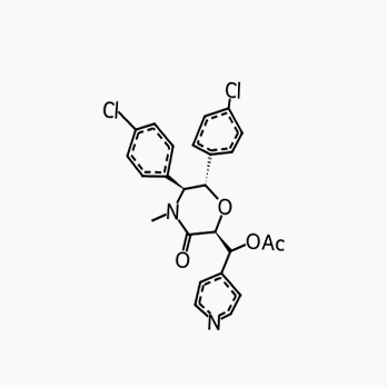 CC(=O)OC(c1ccncc1)[C@@H]1O[C@@H](c2ccc(Cl)cc2)[C@H](c2ccc(Cl)cc2)N(C)C1=O